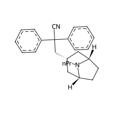 CCCN1[C@@H]2CC[C@H]1C[C@@H](CC(C#N)(c1ccccc1)c1ccccc1)C2